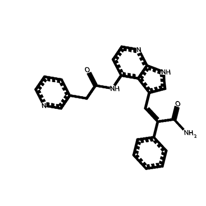 NC(=O)C(=Cc1c[nH]c2nccc(NC(=O)Cc3cccnc3)c12)c1ccccc1